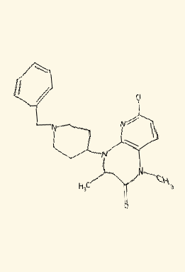 CC1C(=O)N(C)c2ccc(Cl)nc2N1C1CCN(Cc2ccccc2)CC1